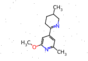 COc1cc(C2=NCC(C)CC2)cc(C)n1